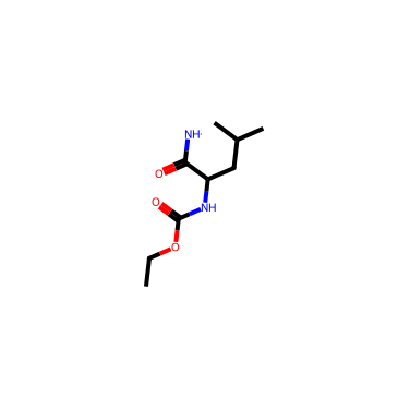 CCOC(=O)NC(CC(C)C)C([NH])=O